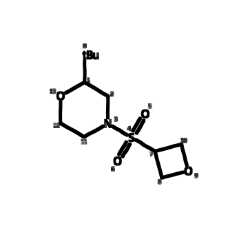 CC(C)(C)C1CN(S(=O)(=O)C2COC2)CCO1